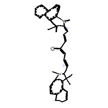 CN1/C(=C/C=CC(Cl)=C/C=C/C2=[N+](C)c3ccc4c(c3C2(C)C)C=CCC4)C(C)(C)c2c1ccc1ccccc21